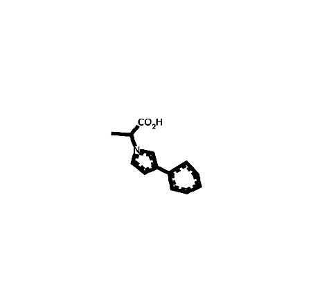 CC(C(=O)O)n1ccc(-c2ccccc2)c1